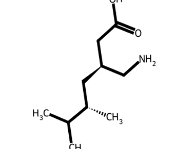 CC(C)[C@@H](C)C[C@H](CN)CC(=O)O